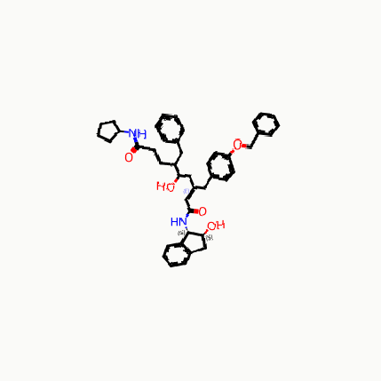 O=C(/C=C(\Cc1ccc(OCc2ccccc2)cc1)CC(O)C(CCC(=O)NC1CCCC1)Cc1ccccc1)N[C@H]1c2ccccc2C[C@@H]1O